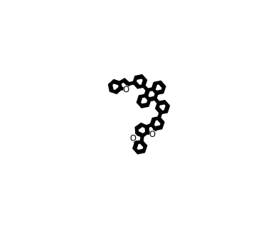 c1cc(-c2ccc3oc4c(ccc5oc6ccccc6c54)c3c2)cc(-c2c3ccccc3c(-c3cccc(-c4cc5ccccc5o4)c3)c3ccccc23)c1